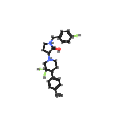 COc1ccc(C2CCN(C3CCN(Cc4ccc(F)cc4)C3=O)CC2(F)F)cc1